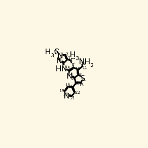 Cc1cn(C)nc1Nc1cc(CN)c2scc(-c3ccncc3)c2n1